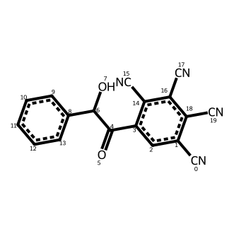 N#Cc1cc(C(=O)C(O)c2ccccc2)c(C#N)c(C#N)c1C#N